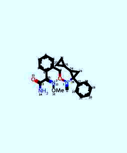 C=[N+](OCc1ccccc1C(=NOC)C(N)=O)C1(c2ccccc2)CC1C1CC1